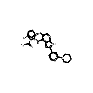 NC(=O)[C@@H]1[C@H](Nc2c(Br)cnc3[nH]c(-c4ccnc(N5CCOCC5)c4)nc23)[C@H]2C=C[C@@H]1C2